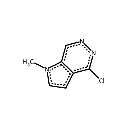 Cn1ccc2c(Cl)nncc21